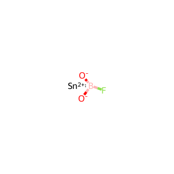 [O-]B([O-])F.[Sn+2]